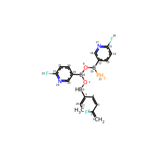 C=C(F)/C=C\C(BOB(OB(P)c1ccc(F)nc1)c1ccc(F)nc1)=C/C